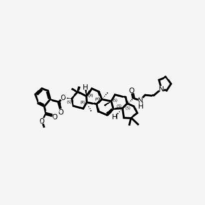 COC(=O)c1ccccc1C(=O)O[C@H]1CC[C@]2(C)C3CC=C4[C@@H]5CC(C)(C)CC[C@]5(C(=O)NCCN5CCCC5)CC[C@@]4(C)[C@]3(C)CC[C@H]2C1(C)C